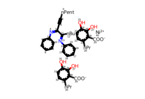 CCCCCC#CC(=Nc1ccccc1)C(CCCC)=Nc1ccccc1.CCCc1ccc(O)c(O)c1C(=O)[O-].CCCc1ccc(O)c(O)c1C(=O)[O-].[Ni+2]